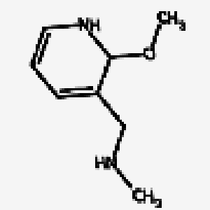 CNCC1=CC=CNC1OC